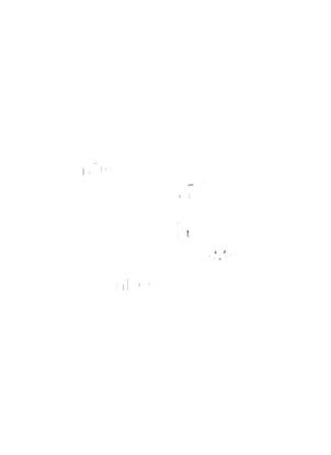 CCCCCCCCCCCCCCCCCC(=O)OCC(COCCOC)OC(=O)CCCCCCCCCCCCCCCCC